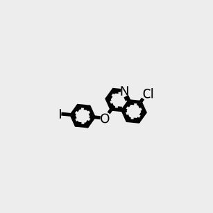 Clc1cccc2c(Oc3ccc(I)cc3)ccnc12